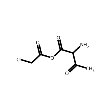 CC(=O)C(N)C(=O)OC(=O)CCl